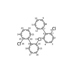 Clc1ccccc1-c1ccccc1.Clc1ccccc1-c1ccccc1Cl